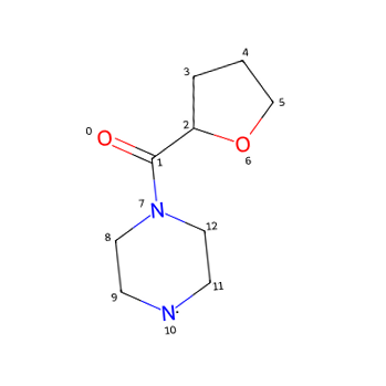 O=C(C1CCCO1)N1CC[N]CC1